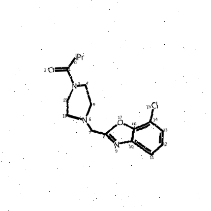 CC(C)C(=O)N1CCN(Cc2nc3cccc(Cl)c3o2)CC1